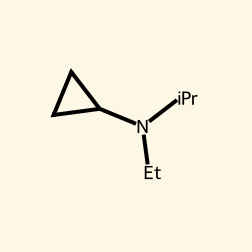 [CH2]CN(C(C)C)C1CC1